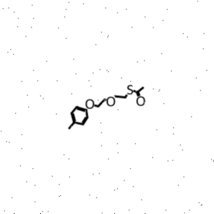 CC(=O)SCCOCCOc1ccc(C)cc1